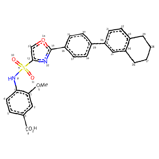 COc1cc(C(=O)O)ccc1NS(=O)(=O)c1coc(-c2ccc(-c3ccc4c(c3)CCCC4)cc2)n1